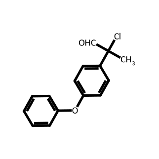 CC(Cl)(C=O)c1ccc(Oc2ccccc2)cc1